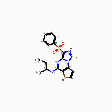 CCC(C)Nc1nc2c(S(=O)(=O)c3ccccc3)nnn2c2ccsc12